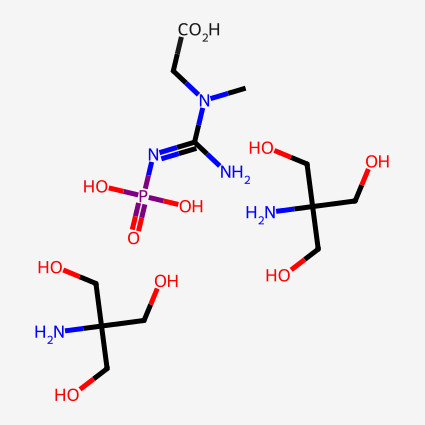 CN(CC(=O)O)/C(N)=N/P(=O)(O)O.NC(CO)(CO)CO.NC(CO)(CO)CO